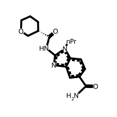 CCCn1c(NC(=O)[C@H]2CCCOC2)nc2cc(C(N)=O)ccc21